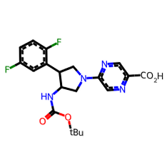 CC(C)(C)OC(=O)NC1CN(c2cnc(C(=O)O)cn2)CC1c1cc(F)ccc1F